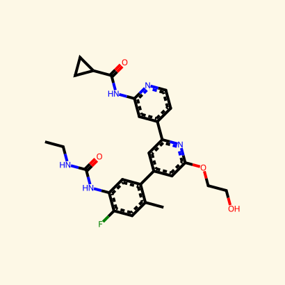 CCNC(=O)Nc1cc(-c2cc(OCCO)nc(-c3ccnc(NC(=O)C4CC4)c3)c2)c(C)cc1F